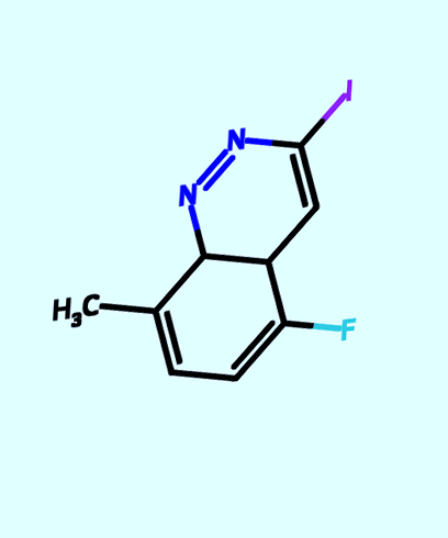 CC1=CC=C(F)C2C=C(I)N=NC12